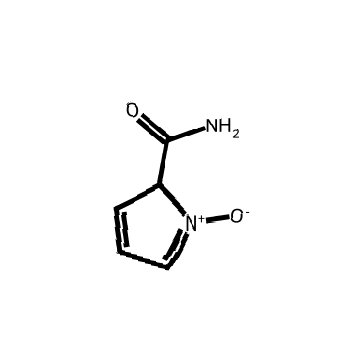 NC(=O)C1C=CC=[N+]1[O-]